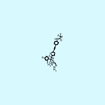 N/N=C\N(N)CC(O)(c1ccc(F)cc1F)C(F)(F)c1ccc(C#Cc2ccc(NC(=O)C(F)(F)F)cc2)cn1